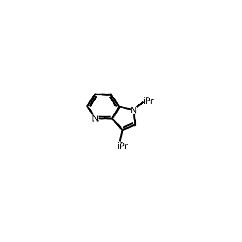 CC(C)c1cn(C(C)C)c2cccnc12